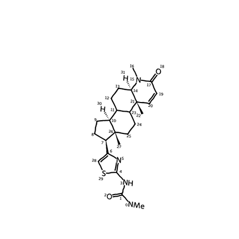 CNC(=O)Nc1nc([C@H]2CC[C@H]3C4CC[C@H]5N(C)C(=O)C=C[C@]5(C)C4CC[C@]23C)cs1